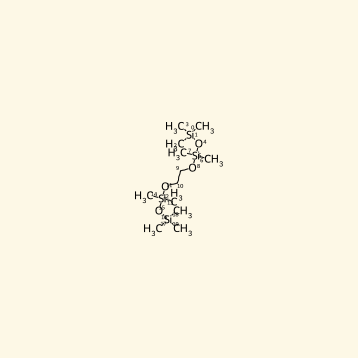 C[Si](C)(C)O[Si](C)(C)OCCO[Si](C)(C)O[Si](C)(C)C